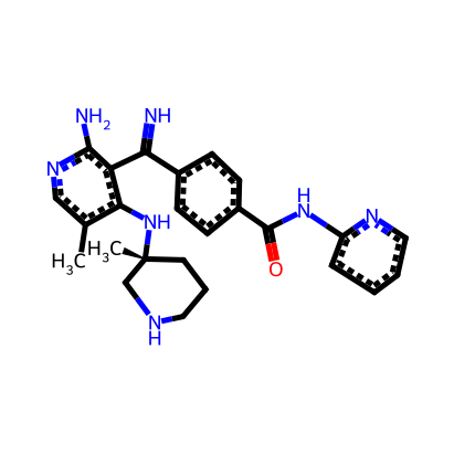 Cc1cnc(N)c(C(=N)c2ccc(C(=O)Nc3ccccn3)cc2)c1N[C@]1(C)CCCNC1